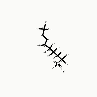 O=S(=O)([O-])C(F)(F)C(F)(F)C(F)(F)C(F)(F)C(F)CCC(F)(F)F.[Li+]